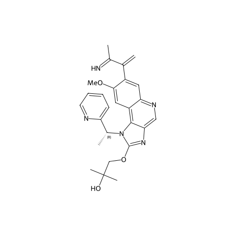 C=C(C(C)=N)c1cc2ncc3nc(OCC(C)(C)O)n([C@H](C)c4ccccn4)c3c2cc1OC